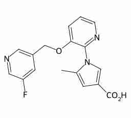 Cc1cc(C(=O)O)cn1-c1ncccc1OCc1cncc(F)c1